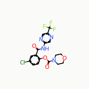 O=C(Nc1cnc(C(F)(F)F)cn1)c1cc(Cl)ccc1OC(=O)N1CCOCC1